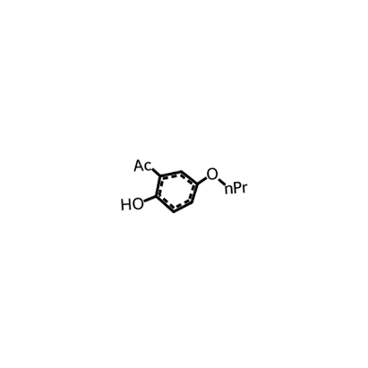 CCCOc1ccc(O)c(C(C)=O)c1